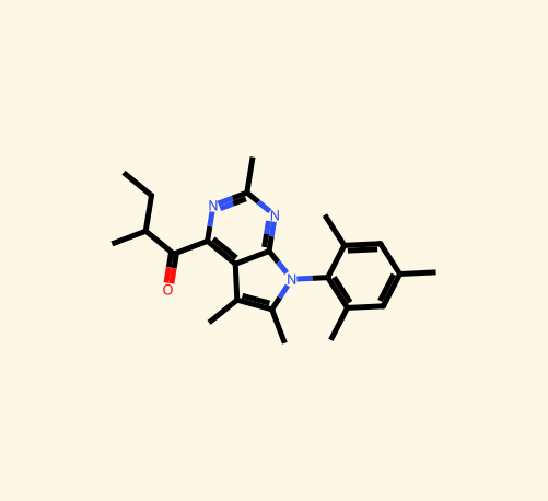 CCC(C)C(=O)c1nc(C)nc2c1c(C)c(C)n2-c1c(C)cc(C)cc1C